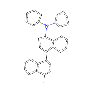 Cc1ccc(-c2ccc(N(c3ccccc3)c3ccccc3)c3ccccc23)c2ccccc12